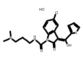 CN(C)CCCNC(=O)N1C(=O)/C(=C(\O)c2cccs2)c2cc(Cl)ccc21.Cl